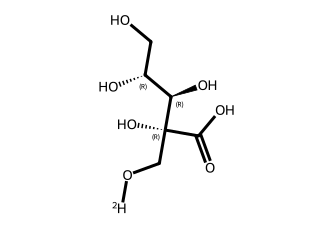 [2H]OC[C@](O)(C(=O)O)[C@H](O)[C@H](O)CO